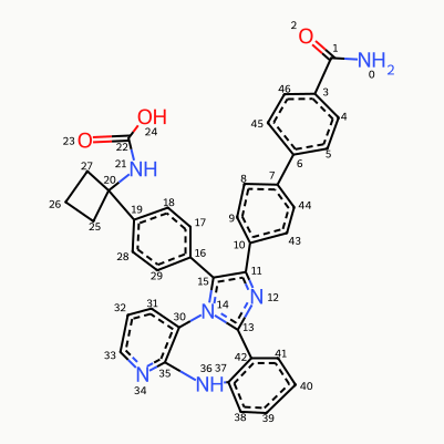 NC(=O)c1ccc(-c2ccc(-c3nc4n(c3-c3ccc(C5(NC(=O)O)CCC5)cc3)-c3cccnc3Nc3ccccc3-4)cc2)cc1